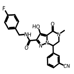 CN1CC(c2cccc(C#N)c2)n2nc(C(=O)NCc3ccc(F)cc3)c(O)c2C1=O